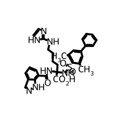 Cc1cc(-c2ccccc2)cc(C)c1S(=O)(=O)NC(CCCCNc1ncc[nH]1)(NC(=O)c1cccc2cn[nH]c12)C(=O)O